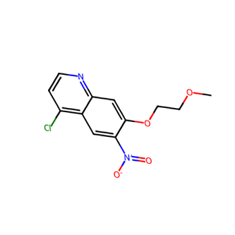 COCCOc1cc2nccc(Cl)c2cc1[N+](=O)[O-]